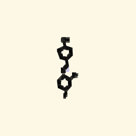 Oc1ccc(/C=N/c2ccc(F)cc2Br)cc1